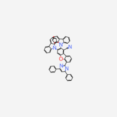 N#Cc1c(-n2c3ccccc3c3ccccc32)c(-n2c3ccccc3c3ccccc32)cc2oc3c(-c4nc(-c5ccccc5)cc(-c5ccccc5)n4)cccc3c12